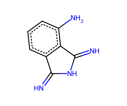 N=C1NC(=N)c2c(N)cccc21